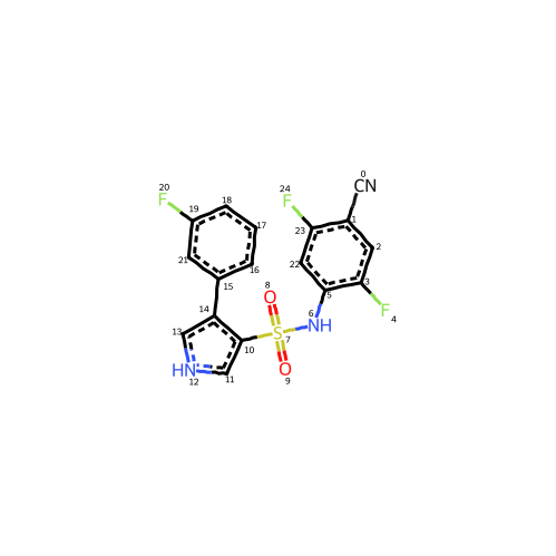 N#Cc1cc(F)c(NS(=O)(=O)c2c[nH]cc2-c2cccc(F)c2)cc1F